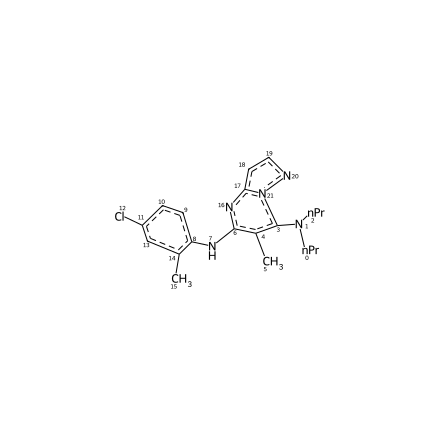 CCCN(CCC)c1c(C)c(Nc2ccc(Cl)cc2C)nc2ccnn12